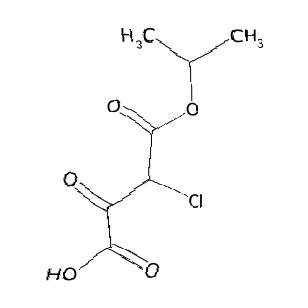 CC(C)OC(=O)C(Cl)C(=O)C(=O)O